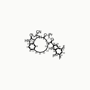 CC(C)C[C@H]1C(=O)N2C[C@]3(C[C@H]2C#N)C(=O)Nc2ccc(cc23)CCCCCN1C(=O)c1cc2c(F)cc(F)c(F)c2[nH]1